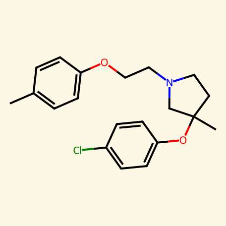 Cc1ccc(OCCN2CCC(C)(Oc3ccc(Cl)cc3)C2)cc1